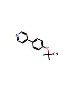 CC(C)(C#N)Oc1ccc(-c2c[c]ncc2)cc1